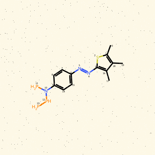 Cc1sc(N=Nc2ccc(N(P)PP)cc2)c(C)c1C